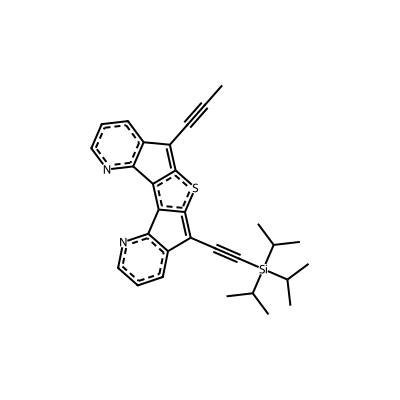 CC#CC1=c2sc3c(c2-c2ncccc21)-c1ncccc1C=3C#C[Si](C(C)C)(C(C)C)C(C)C